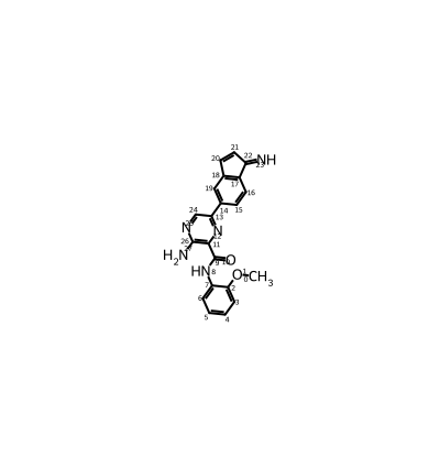 COc1ccccc1NC(=O)c1nc(-c2ccc3c(c2)C=CC3=N)cnc1N